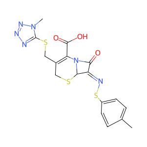 Cc1ccc(SN=C2C(=O)N3C(C(=O)O)=C(CSc4nnnn4C)CSC23)cc1